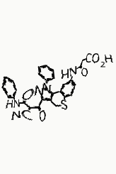 N#CC(C(=O)Nc1ccccc1)C(=O)c1nn(-c2ccccc2)c2c1CSc1ccc(NC(=O)CC(=O)O)cc1-2